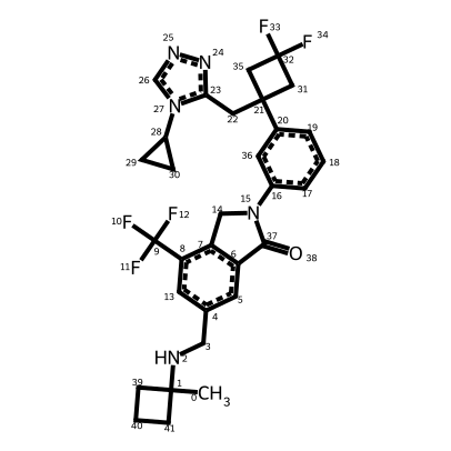 CC1(NCc2cc3c(c(C(F)(F)F)c2)CN(c2cccc(C4(Cc5nncn5C5CC5)CC(F)(F)C4)c2)C3=O)CCC1